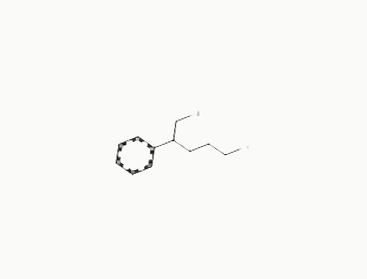 NCC(CCCO)c1ccccc1